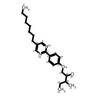 CCCCCCCCc1cnc(-c2ccc(OCC(Cl)C(C)CC)cc2)nc1